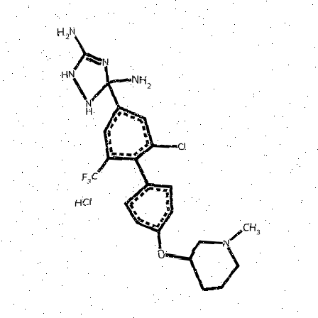 CN1CCCC(Oc2ccc(-c3c(Cl)cc(C4(N)N=C(N)NN4)cc3C(F)(F)F)cc2)C1.Cl